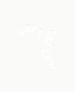 COc1cccc(-n2cc([C@H](C)C(=O)Nc3cc(C4CC4)[nH]n3)cn2)n1